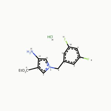 CCOC(=O)c1cn(Cc2cc(F)cc(F)c2)cc1N.Cl